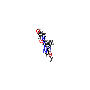 CCCOc1ccnc(-c2nc3c(c(N(C)CC(=O)N4CCc5cc(OC)ccc54)n2)CCC3)c1